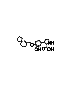 O=C(O)[C@H]1NCCC1c1ccc(OCC2=CC3(CCCC3)CCC2)c(O)c1